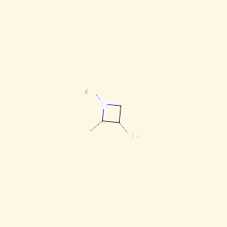 CC(C)N1CC(C(C)(C)C)C1C